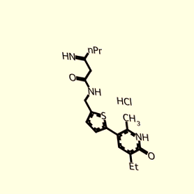 CCCC(=N)CC(=O)NCc1ccc(-c2cc(CC)c(=O)[nH]c2C)s1.Cl